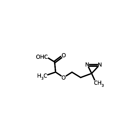 CC(OCCC1(C)N=N1)C(=O)C=O